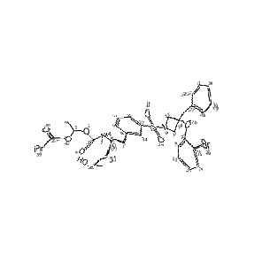 CC(OC(=O)N[C@@H](Cc1cccc(S(=O)(=O)N2CC(Oc3ccccc3Br)(c3ccccc3)C2)c1)C(=O)O)OC(=O)C(C)C